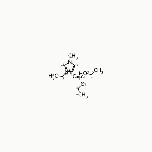 CCO[PH](=O)OCC.CC[n+]1ccn(C)c1